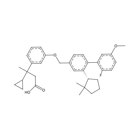 COc1ccc(F)c(-c2ccc(COc3cccc(C(C)(CC(=O)O)C4CC4)c3)cc2[C@@H]2CCCC2(C)C)c1